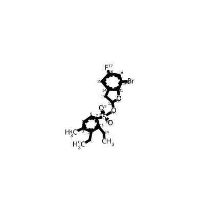 CCc1c(C)ccc(S(=O)(=O)OC2Cc3cc(F)cc(Br)c3O2)c1CC